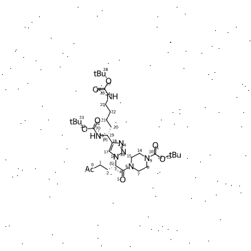 CC(=O)CC[C@@H](C(=O)N1CCN(C(=O)OC(C)(C)C)CC1)n1cc([C@@H](CCCCNC(=O)OC(C)(C)C)NC(=O)OC(C)(C)C)nn1